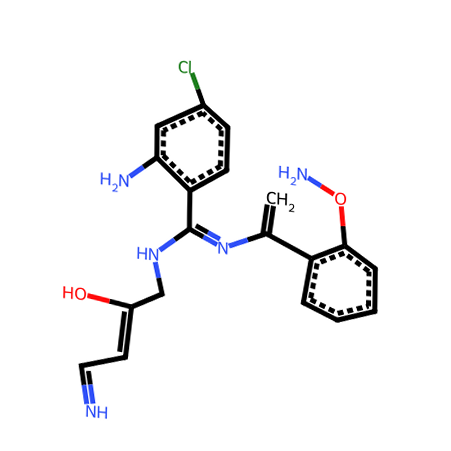 C=C(/N=C(/NC/C(O)=C/C=N)c1ccc(Cl)cc1N)c1ccccc1ON